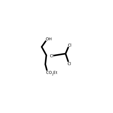 CCOC(=O)CCCO.ClC(Cl)Cl